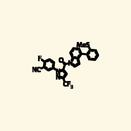 CSc1ccccc1-c1cccc2c1ccn2C(=O)c1cc(C(F)(F)F)nn1-c1ccc(F)c(C#N)c1